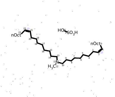 CCCCCCCC/C=C\CCCCCCCCN(C)CCCCCCCC/C=C\CCCCCCCC.O=S(=O)(O)O